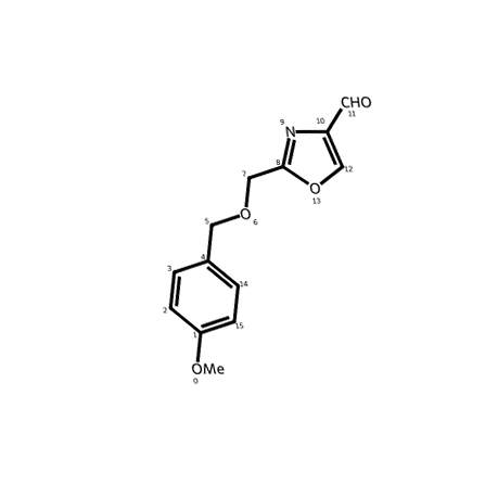 COc1ccc(COCc2nc(C=O)co2)cc1